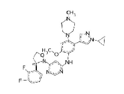 COc1cc(N2CCN(C)CC2)c(-c2cnn(C3CC3)c2)cc1Nc1cc(N2OCC[C@@H]2c2cccc(F)c2F)ncn1